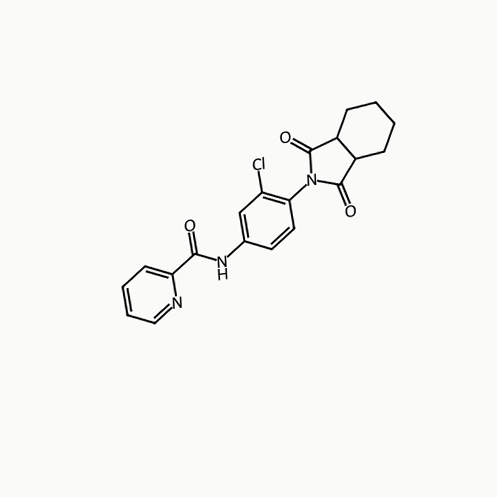 O=C(Nc1ccc(N2C(=O)C3CCCCC3C2=O)c(Cl)c1)c1ccccn1